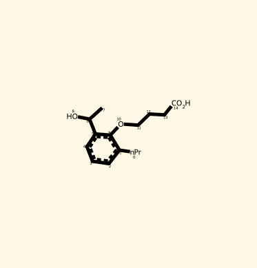 CCCc1cccc(C(C)O)c1OCCCC(=O)O